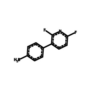 Bc1ccc(-c2ccc(F)nc2F)cc1